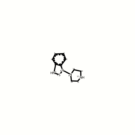 c1ccc2c(c1)NSN2N1CCNCC1